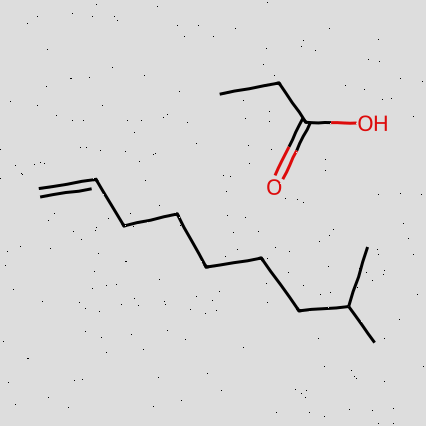 C=CCCCCCC(C)C.CCC(=O)O